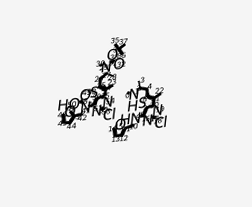 CN[C@@H](C)Cc1sc2c(NCc3ccco3)nc(Cl)nc2c1C.Cc1c(C[C@H](C)N(C)C(=O)OC(C)(C)C)sc2c(N(Cc3ccco3)C(=O)O)nc(Cl)nc12